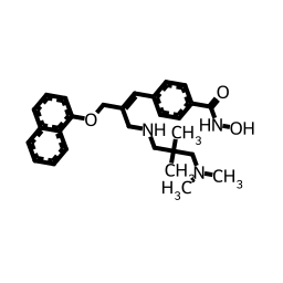 CN(C)CC(C)(C)CNCC(=Cc1ccc(C(=O)NO)cc1)COc1cccc2ccccc12